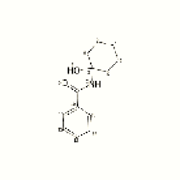 O=C(NC1(O)CCCCC1)c1ccccc1